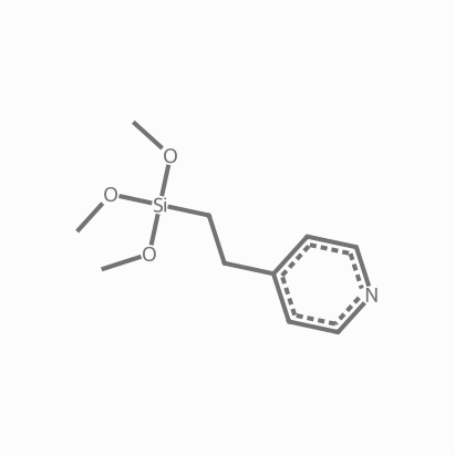 CO[Si](CCc1ccncc1)(OC)OC